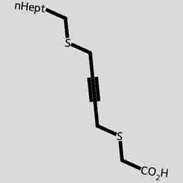 CCCCCCCCSCC#CCSCC(=O)O